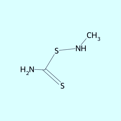 CNSC(N)=S